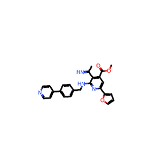 COC(=O)c1cc(-c2ccco2)nc(NCc2ccc(-c3ccncc3)cc2)c1C(C)=N